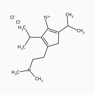 CC(C)C1=[C]([Ti+2])C(C(C)C)=C(CCN(C)C)C1.[Cl-].[Cl-]